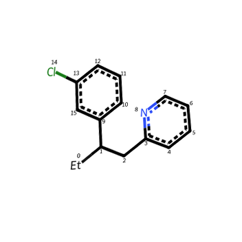 CCC(Cc1ccccn1)c1cccc(Cl)c1